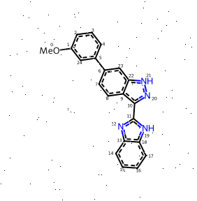 COc1cccc(-c2ccc3c(-c4nc5ccccc5[nH]4)n[nH]c3c2)c1